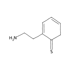 NCCC1=CC=CCC1=S